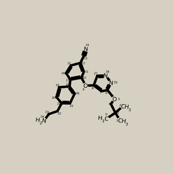 CC(C)(C)COc1cc(Oc2cc(C#N)ccc2-c2ccc(CCN)cc2)cnn1